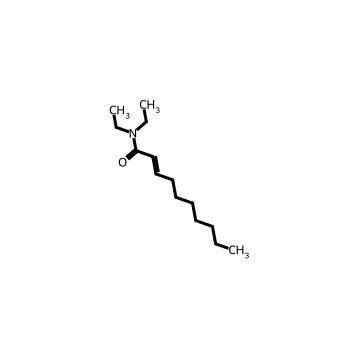 CCCCCCCC=CC(=O)N(CC)CC